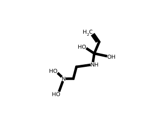 C=CC(O)(O)NCCN(O)O